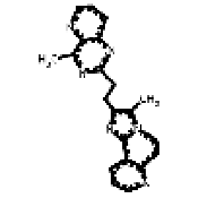 Cc1nc(CCc2nc3c4cccnc4ccn3c2C)nc2cccnc12